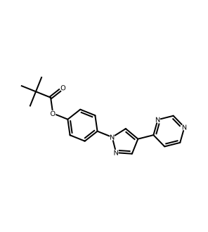 CC(C)(C)C(=O)Oc1ccc(-n2cc(-c3ccncn3)cn2)cc1